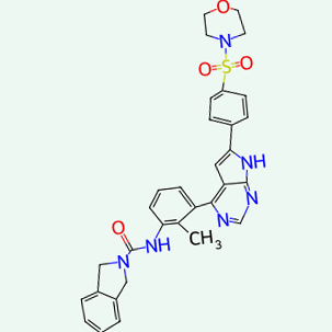 Cc1c(NC(=O)N2Cc3ccccc3C2)cccc1-c1ncnc2[nH]c(-c3ccc(S(=O)(=O)N4CCOCC4)cc3)cc12